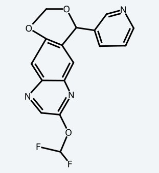 FC(F)Oc1cnc2cc3c(cc2n1)C(c1cccnc1)OCO3